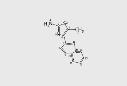 Cc1sc(N)nc1-c1ccc2ccccc2c1